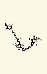 CCC[C@H](C)N[C@@H](CSSCCOC(=O)CCC(NC(=O)c1ccc(CCCc2cc3c(=O)[nH]c(N)nc3[nH]2)s1)C(=O)O)C(=O)O